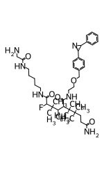 CC(C(C(=O)NCCOCc1ccc(C2=NC2c2ccccc2)cc1)C(C)(C)C(C)(C)CCC(N)=O)C(C)(C)C(F)C(=O)NCCCCCNC(=O)CN